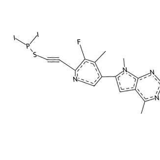 Cc1c(-c2cc3c(C)ncnc3n2C)cnc(C#CSP(I)I)c1F